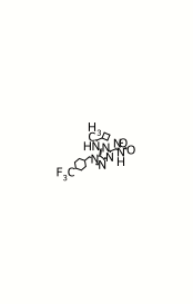 C[C@@H](Nc1nc(-c2noc(=O)[nH]2)nc2ncn(CC3CCC(C(F)(F)F)CC3)c12)C1CCC1